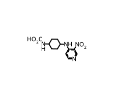 O=C(O)NC1CCC(Nc2ccncc2[N+](=O)[O-])CC1